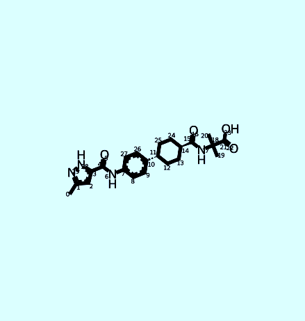 Cc1cc(C(=O)Nc2ccc([C@H]3CC[C@H](C(=O)NC(C)(C)C(=O)O)CC3)cc2)[nH]n1